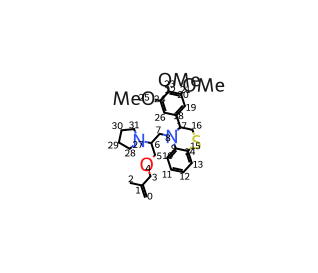 C=C(C)COCC(CN1c2ccccc2SCC1c1cc(OC)c(OC)c(OC)c1)N1CCCC1